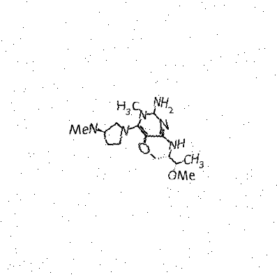 CN[C@@H]1CCN(C2=C3OC[C@@H]([C@H](C)OC)NC3=NC(N)N2C)C1